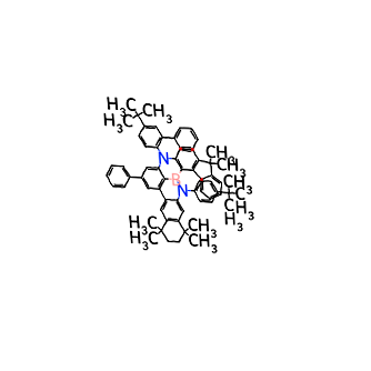 CC(C)(C)c1ccc(N2B3c4c(cc(-c5ccccc5)cc4N(c4ccc(C(C)(C)C)cc4-c4ccccc4)c4ccc5c(c43)-c3ccccc3C5(C)C)-c3cc4c(cc32)C(C)(C)CCC4(C)C)cc1